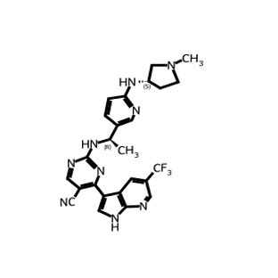 C[C@@H](Nc1ncc(C#N)c(-c2c[nH]c3ncc(C(F)(F)F)cc23)n1)c1ccc(N[C@H]2CCN(C)C2)nc1